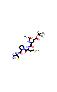 CSCCC(NC(=O)C(CCC(=O)OC(C)(C)C)NC(C)=O)C(=O)N1CCCC1C(=O)NC(CS)C(N)=O